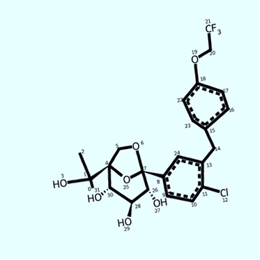 CC(C)(O)[C@@]12CO[C@@](c3ccc(Cl)c(Cc4ccc(OCC(F)(F)F)cc4)c3)(O1)[C@H](O)[C@@H](O)[C@@H]2O